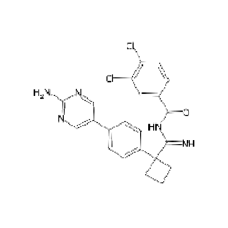 N=C(NC(=O)c1ccc(Cl)c(Cl)c1)C1(c2ccc(-c3cnc(N)nc3)cc2)CCC1